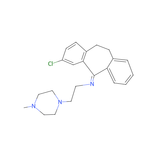 CN1CCN(CCN=C2c3ccccc3CCc3ccc(Cl)cc32)CC1